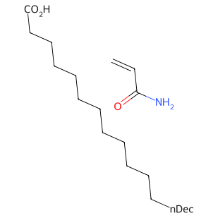 C=CC(N)=O.CCCCCCCCCCCCCCCCCCCCCC(=O)O